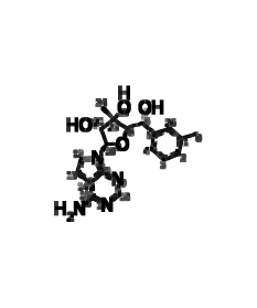 Cc1cccc([C@@H](O)[C@H]2O[C@@H](n3ccc4c(N)ncnc43)[C@H](O)[C@]2(C)O)c1